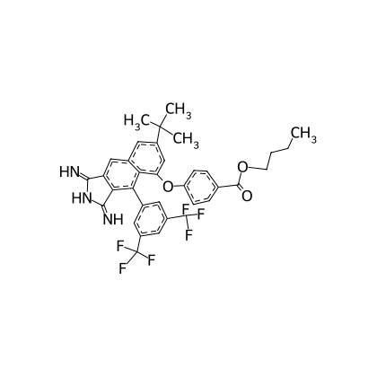 CCCCOC(=O)c1ccc(Oc2cc(C(C)(C)C)cc3cc4c(c(-c5cc(C(F)(F)F)cc(C(F)(F)F)c5)c23)C(=N)NC4=N)cc1